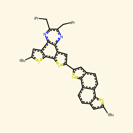 CC(C)Cc1nc2c3cc(-c4cc5ccc6c(ccc7cc(C(C)(C)C)sc76)c5s4)sc3c3sc(C(C)(C)C)cc3c2nc1CC(C)C